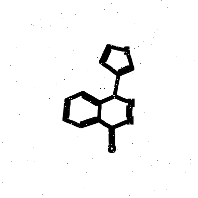 O=C1N=NC(c2ccsc2)c2ccccc21